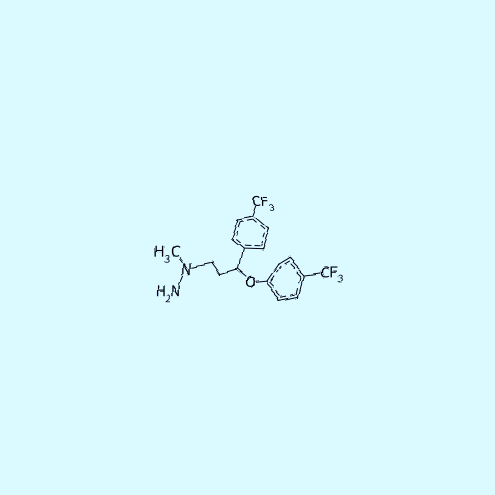 CN(N)CCC(Oc1ccc(C(F)(F)F)cc1)c1ccc(C(F)(F)F)cc1